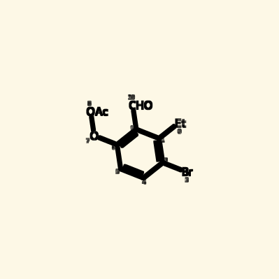 CCc1c(Br)ccc(OOC(C)=O)c1C=O